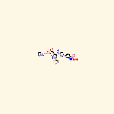 COc1cc2c(NC3CCN(c4ccc(C(=O)NO)cc4)CC3)cc(-c3ccc(C)o3)nc2cc1OCCCN1CCCC1